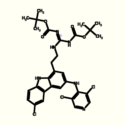 CC(C)(C)OC(=O)/N=C(\NCCc1cc(Nc2c(Cl)cncc2Cl)cc2c1[nH]c1ccc(Cl)cc12)NC(=O)OC(C)(C)C